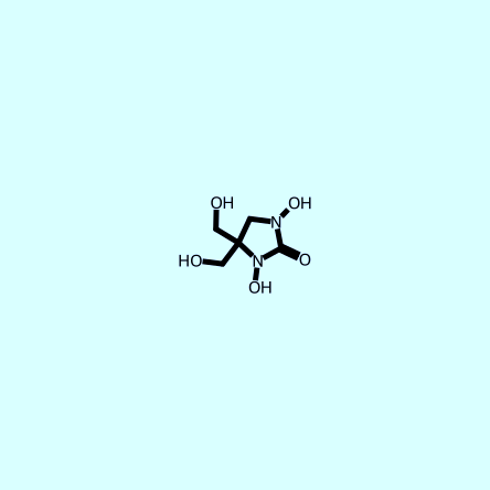 O=C1N(O)CC(CO)(CO)N1O